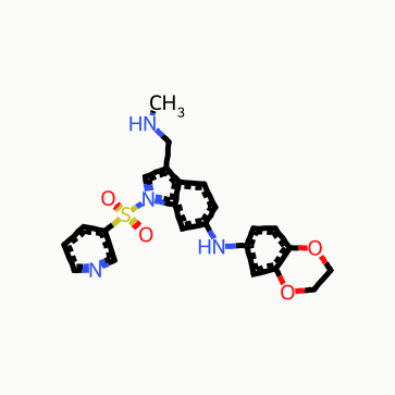 CNCc1cn(S(=O)(=O)c2cccnc2)c2cc(Nc3ccc4c(c3)OCCO4)ccc12